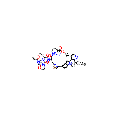 C=CC(=O)N1CC2(C1)OCCCN2C(=O)N(C)[C@H](C(=O)N[C@H]1Cc2nc(cs2)-c2ccc3c(c2)c(c(-c2cccnc2[C@H](C)OC)n3CC)CC(C)(C)COC(=O)[C@@H]2CCCN(N2)C1=O)C(C)C